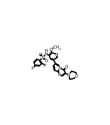 COc1ncc(-c2ccc3ncc(N4CCOCC4)c(=O)n3c2)cc1NS(=O)(=O)c1ccc(F)cc1F